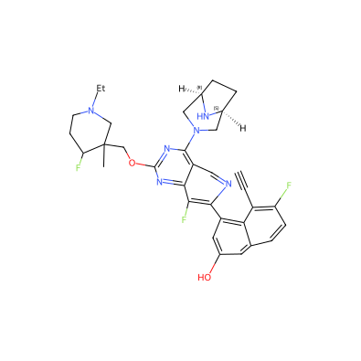 C#Cc1c(F)ccc2cc(O)cc(-c3ncc4c(N5C[C@H]6CC[C@@H](C5)N6)nc(OCC5(C)CN(CC)CCC5F)nc4c3F)c12